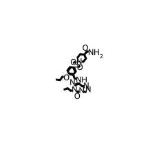 CCCOc1ccc(S(=O)(=O)N2CCC(C(N)=O)CC2)cc1-c1nc2c([nH]1)c1nncn1c(=O)n2CCC